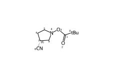 CC(C)(C)C(=O)ON1CC[C@@H](C#N)C1